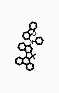 CC1(C)c2cc(N(c3ccccc3)c3cccc4c3oc3ccccc34)c3ccccc3c2-c2c1c1ccccc1c1ccccc21